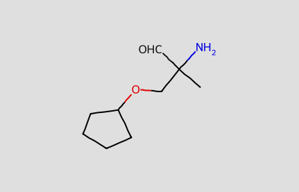 CC(N)(C=O)COC1CCCC1